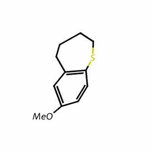 COc1ccc2c(c1)CCCCS2